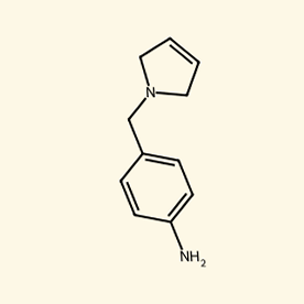 Nc1ccc(CN2CC=CC2)cc1